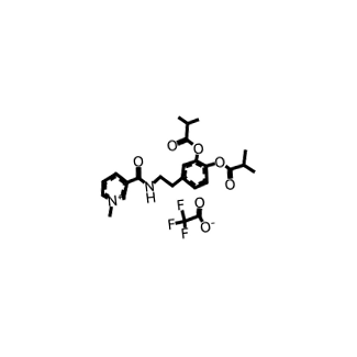 CC(C)C(=O)Oc1ccc(CCNC(=O)c2ccc[n+](C)c2)cc1OC(=O)C(C)C.O=C([O-])C(F)(F)F